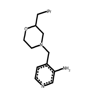 CC(C)CC1CN(Cc2ccncc2N)CCO1